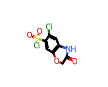 O=C1COc2cc(S(=O)(=O)Cl)c(Cl)cc2N1